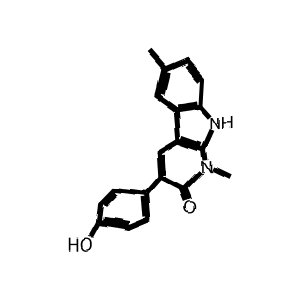 Cc1ccc2[nH]c3c(cc(-c4ccc(O)cc4)c(=O)n3C)c2c1